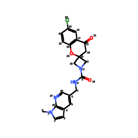 Cn1ccc2cc(CNC(=O)N3CC4(CC(=O)c5cc(Cl)ccc5O4)C3)cnc21